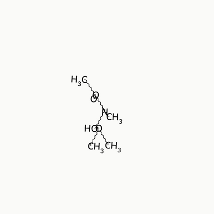 CCCCCCCCCOC(=O)CCCCCCCN(CCC)CCCCCCCC(O)OC(CCCCCCCC)CCCCCCCC